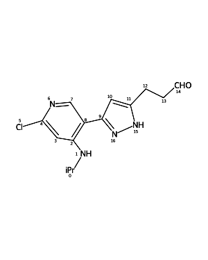 CC(C)Nc1cc(Cl)ncc1-c1cc(CCC=O)[nH]n1